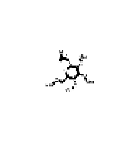 CCCCOC[C@H]1O[C@H](CC(N)=O)[C@@H](OCCCC)[C@@H](OCCCC)[C@@H]1OCCCC